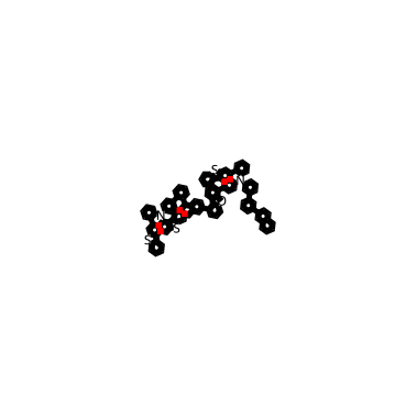 c1cc(-c2cccc(N(c3ccc(-c4cccc5c4oc4cccc(-c6ccc7c(-c8ccccc8-c8ccc(N(c9ccccc9-c9ccc%10c(c9)sc9ccccc9%10)c9cccc%10sc%11ccccc%11c9%10)cc8)cccc7c6)c45)cc3)c3ccccc3-c3ccc4c(c3)sc3ccccc34)c2)cc(-c2ccc3ccccc3c2)c1